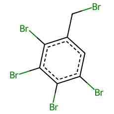 BrCc1cc(Br)c(Br)c(Br)c1Br